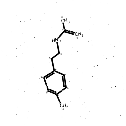 C=C(C)NCCc1ccc(C)cc1